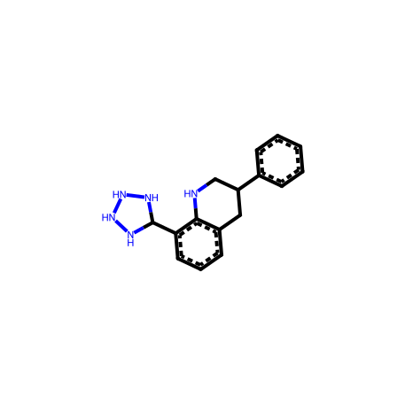 c1ccc(C2CNc3c(cccc3C3NNNN3)C2)cc1